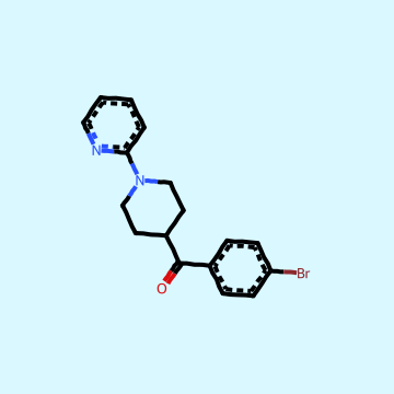 O=C(c1ccc(Br)cc1)C1CCN(c2ccccn2)CC1